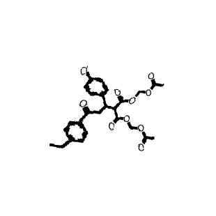 CCc1ccc(C(=O)CC(c2ccc(Cl)cc2)C(C(=O)OCOC(C)=O)C(=O)OCOC(C)=O)cc1